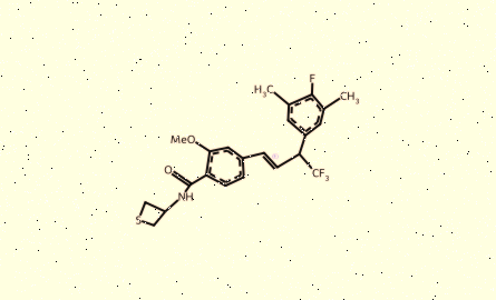 COc1cc(/C=C/C(c2cc(C)c(F)c(C)c2)C(F)(F)F)ccc1C(=O)NC1CSC1